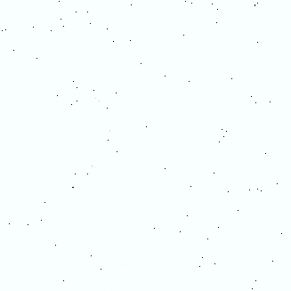 Nc1cc(C=CC(=O)O)ccc1-n1ccnc1C1CCCCC1